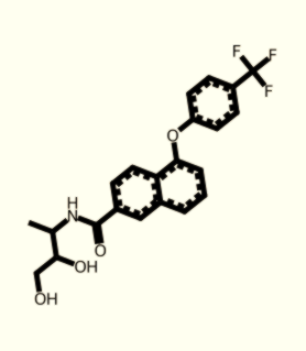 CC(NC(=O)c1ccc2c(Oc3ccc(C(F)(F)F)cc3)cccc2c1)C(O)CO